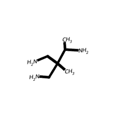 CC(N)C(C)(CN)CN